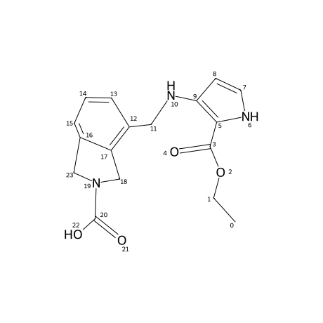 CCOC(=O)c1[nH]ccc1NCc1cccc2c1CN(C(=O)O)C2